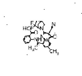 Cc1cc([C@@H](C)Nc2ccccc2C(=O)O)c2nc(N3CC4CC3C(F)(F)C4)c(C#N)c(=O)n2c1